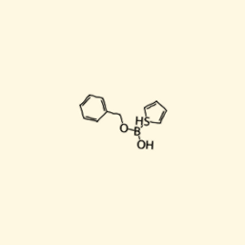 OB(OCc1ccccc1)[SH]1C=CC=C1